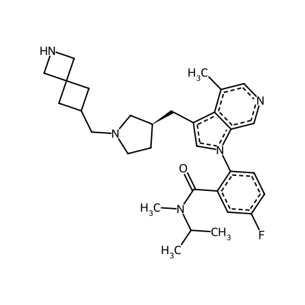 Cc1cncc2c1c(C[C@H]1CCN(CC3CC4(CNC4)C3)C1)cn2-c1ccc(F)cc1C(=O)N(C)C(C)C